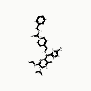 CCOC1=N[C@@H]([C@H](OCC2=CCN(C(=O)OCc3ccccc3)CC2)c2nc(Br)cs2)C(C)=N[C@@H]1C(C)C